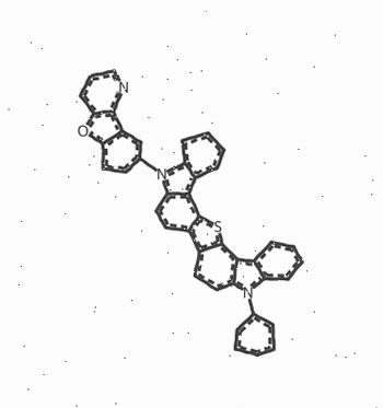 c1ccc(-n2c3ccccc3c3c4sc5c(ccc6c5c5ccccc5n6-c5ccc6oc7cccnc7c6c5)c4ccc32)cc1